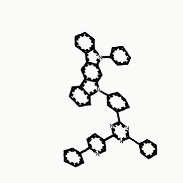 c1ccc(-c2ccc(-c3nc(-c4ccccc4)nc(-c4cccc(-n5c6ccccc6c6cc7c8ccccc8n(-c8ccccc8)c7cc65)c4)n3)cn2)cc1